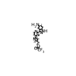 Nc1ccc2[nH]nc(-c3nccc(-n4cc(CCOC(=O)C(F)(F)F)cn4)n3)c2c1